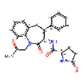 CNC(=O)CN1C(=O)[C@@H](NC(=O)[C@@H]2CCC(=O)N2)[C@H](c2ccccc2)Cc2ccccc21